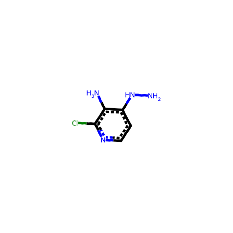 NNc1ccnc(Cl)c1N